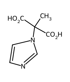 CC(C(=O)O)(C(=O)O)n1ccnc1